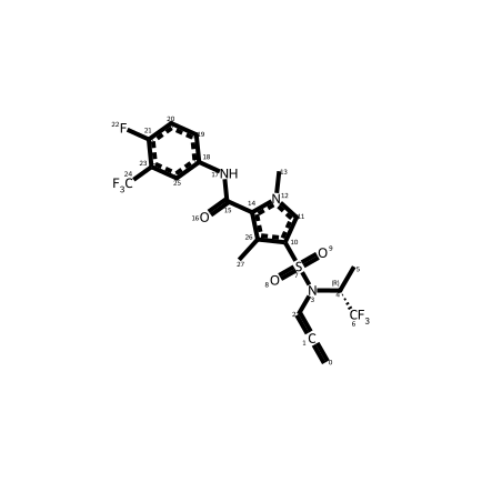 C=C=CN([C@H](C)C(F)(F)F)S(=O)(=O)c1cn(C)c(C(=O)Nc2ccc(F)c(C(F)(F)F)c2)c1C